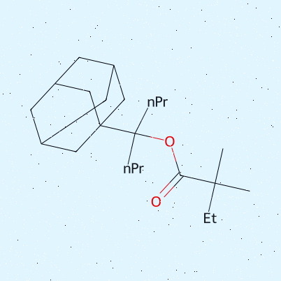 CCCC(CCC)(OC(=O)C(C)(C)CC)C12CC3CC(CC(C3)C1)C2